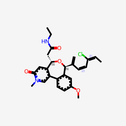 C=C(/C=C\C(Cl)=C/C)[C@@H]1O[C@@H](CC(=O)NCC)c2cc(=O)n(C)cc2-c2ccc(OC)cc21